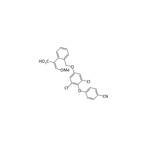 CO/C=C(/C(=O)O)c1ccccc1COc1cc(Cl)c(Oc2ccc(C#N)cc2)c(Cl)c1